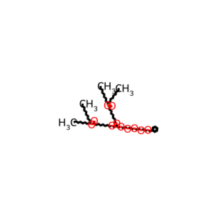 CCCCCCCCCC(CCCCCCC)OC(=O)CCCCCCCOCC(COCCOCCOCCOCCOCc1ccccc1)OCCCCCCCC(=O)OC(CCCCCCCC)CCCCCCCC